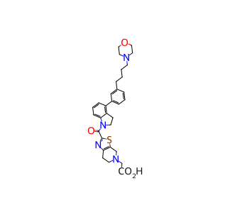 O=C(O)CN1CCc2nc(C(=O)N3CCc4c(-c5cccc(CCCCN6CCOCC6)c5)cccc43)sc2C1